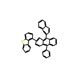 c1ccc(-c2c3ccccc3c(-c3ccc4ccccc4c3)c3cc(-c4cccc5sc6ccccc6c45)ccc23)cc1